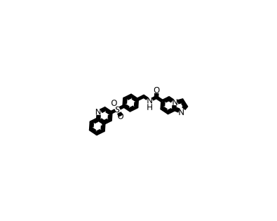 O=C(NCc1ccc(S(=O)(=O)c2cnc3ccccc3c2)cc1)c1ccc2nccn2c1